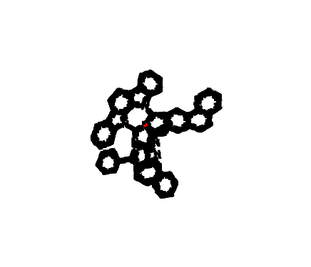 c1ccc(-c2nc(-c3ccccc3)nc(-c3cccc(-n4c5ccccc5c5ccc6c7ccccc7n(-c7nc(-c8ccccc8)nc(-c8ccc9c(ccc%10ccccc%109)c8)n7)c6c54)c3)n2)cc1